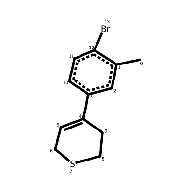 Cc1cc(C2=CCSCC2)ccc1Br